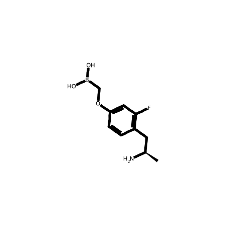 C[C@@H](N)Cc1ccc(OCB(O)O)cc1F